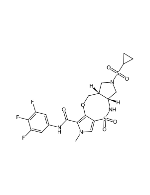 Cn1cc2c(c1C(=O)Nc1cc(F)c(F)c(F)c1)OC[C@@H]1CN(S(=O)(=O)C3CC3)C[C@@H]1NS2(=O)=O